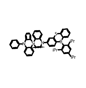 CC(C)c1cc(C(C)C)c(B2c3ccccc3Sc3cc(N4c5ccccc5[Si]5(c6ccccc6N(c6ccccc6)c6ccccc65)c5ccccc54)ccc32)c(C(C)C)c1